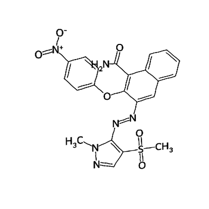 Cn1ncc(S(C)(=O)=O)c1/N=N/c1cc2ccccc2c(C(N)=O)c1Oc1ccc([N+](=O)[O-])cc1